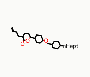 C=CCCC1CCC(C2CCC(OCC3CCC(CCCCCCC)CC3)CC2)OC1=O